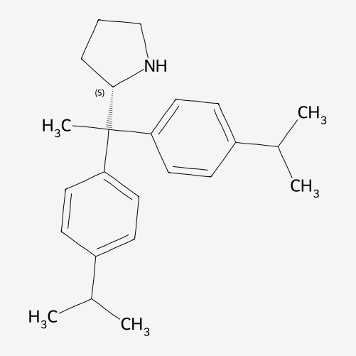 CC(C)c1ccc(C(C)(c2ccc(C(C)C)cc2)[C@@H]2CCCN2)cc1